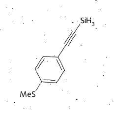 CSc1ccc(C#C[SiH3])cc1